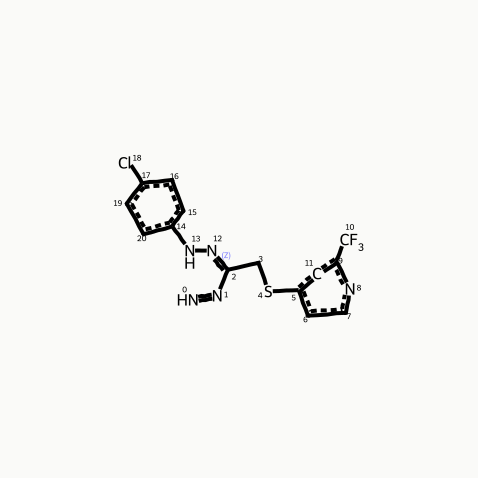 N=N/C(CSc1ccnc(C(F)(F)F)c1)=N\Nc1ccc(Cl)cc1